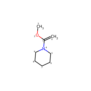 C=C(OC)N1CCCCC1